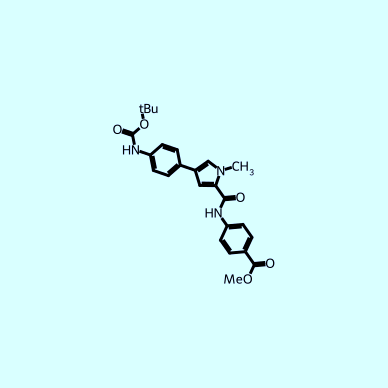 COC(=O)c1ccc(NC(=O)c2cc(-c3ccc(NC(=O)OC(C)(C)C)cc3)cn2C)cc1